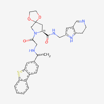 C=C(NCC(=O)N1CC2(C[C@H]1C(=O)NCc1cc3c([nH]1)CCN=C3)OCCO2)c1ccc2c(c1)sc1ccccc12